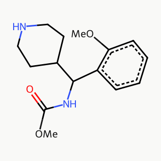 COC(=O)NC(c1ccccc1OC)C1CCNCC1